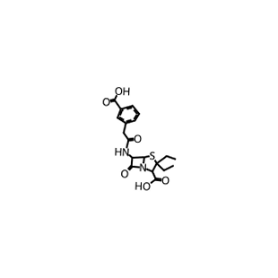 CCC1(CC)SC2C(NC(=O)Cc3cccc(C(=O)O)c3)C(=O)N2C1C(=O)O